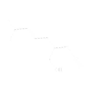 C#CCC(CO)C/C=C/C(C)C